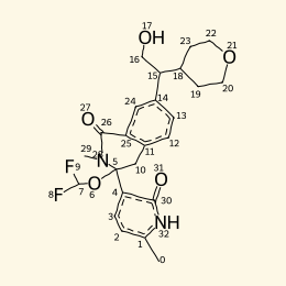 Cc1ccc(C2(OC(F)F)Cc3ccc(C(CO)C4CCOCC4)cc3C(=O)N2C)c(=O)[nH]1